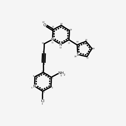 Nc1cc(Cl)ncc1C#CCn1nc(-c2cccs2)ccc1=O